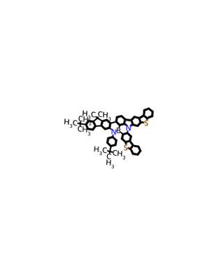 CC(C)(C)c1ccc(N2B3c4cc5sc6ccccc6c5cc4-n4c5cc6sc7ccccc7c6cc5c5ccc(c3c54)-c3cc4c(cc32)-c2ccc(C(C)(C)C)cc2C4(C)C)cc1